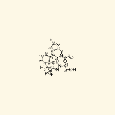 C=CC(=O)N1Cc2sc(C)cc2[C@H](c2ccccc2-c2cn(C(C)CO)nc2C(F)(F)P)C1